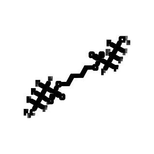 O=S(=O)(OCCCCOS(=O)(=O)C(F)(F)C(F)(F)C(F)(F)C(F)(F)F)C(F)(F)C(F)(F)C(F)(F)C(F)(F)F